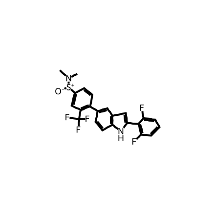 CN(C)[S+]([O-])c1ccc(-c2ccc3[nH]c(-c4c(F)cccc4F)cc3c2)c(C(F)(F)F)c1